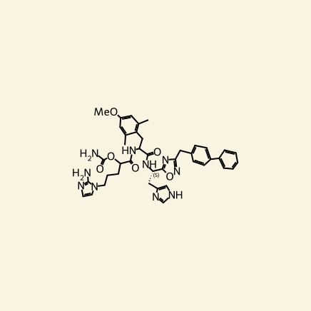 COc1cc(C)c(CC(NC(=O)C(CCCn2ccnc2N)OC(N)=O)C(=O)N[C@@H](Cc2c[nH]cn2)c2nc(Cc3ccc(-c4ccccc4)cc3)no2)c(C)c1